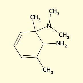 CC1=CC=CC(C)(N(C)C)C1N